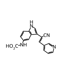 N#CC(=Cc1cccnc1)c1c[nH]c2ccc(NC(=O)O)cc12